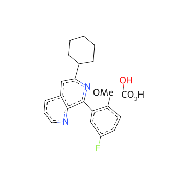 COc1ccc(F)cc1-c1nc(C2CCCCC2)cc2cccnc12.O=C(O)O